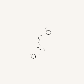 Cc1ccc(C(=O)N[C@@]2(C(=O)NCc3ncc(Nc4ccc(Cl)cc4C(F)(F)F)cc3F)CCOC2)cn1